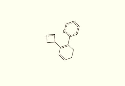 C1=CC(C2C=CC2)=C(c2ccccn2)CC1